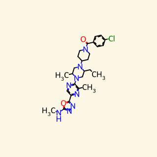 CCC1CN(c2ncc(-c3nnc(NC)o3)nc2C)C(C)CN1C1CCN(C(=O)c2ccc(Cl)cc2)CC1